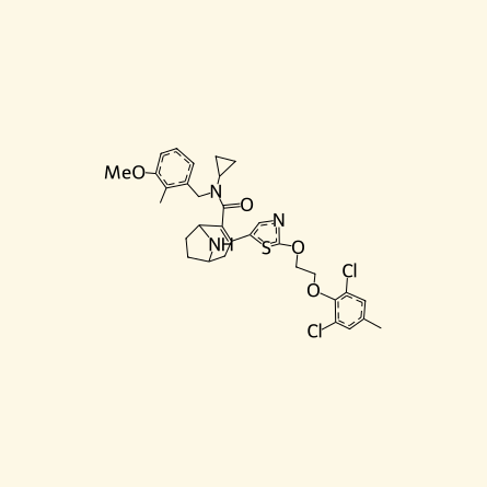 COc1cccc(CN(C(=O)C2=C(c3cnc(OCCOc4c(Cl)cc(C)cc4Cl)s3)CC3CCC2N3)C2CC2)c1C